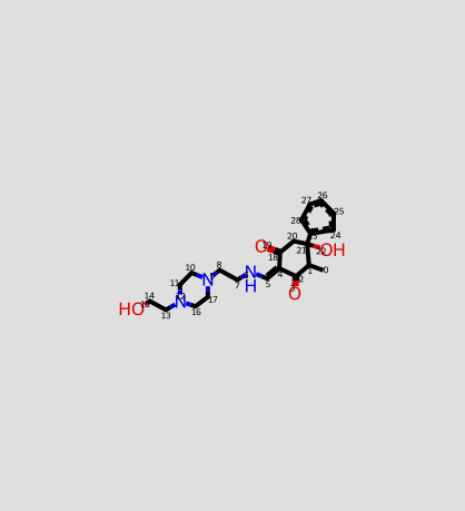 CC1C(=O)/C(=C/NCCN2CCN(CCO)CC2)C(=O)CC1(O)c1ccccc1